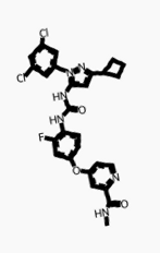 CNC(=O)c1cc(Oc2ccc(NC(=O)Nc3cc(C4CCC4)nn3-c3cc(Cl)cc(Cl)c3)c(F)c2)ccn1